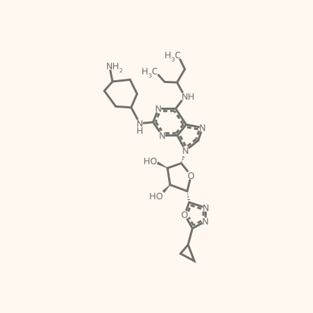 CCC(CC)Nc1nc(NC2CCC(N)CC2)nc2c1ncn2[C@@H]1O[C@H](c2nnc(C3CC3)o2)[C@@H](O)[C@H]1O